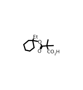 CCC1(OC(=O)C(C)(C)C(=O)O)CCCCC1